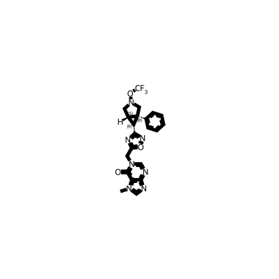 Cn1cnc2ncn(Cc3nc([C@@H]4[C@@H]5CN(OC(F)(F)F)C[C@@]45c4ccccc4)no3)c(=O)c21